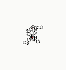 c1ccc(-c2nc(-c3ccc(-n4c5ccccc5c5cc6ccccc6cc54)c(-c4cccc5sc6ccc7ccccc7c6c45)c3)nc(-c3ccc4c(c3)sc3ccccc34)n2)cc1